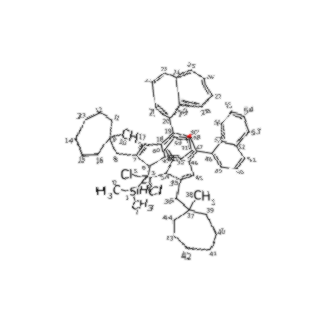 C[SiH](C)[Zr]([Cl])([Cl])([CH]1C(CC2(C)CCCCCC2)=Cc2c(-c3cccc4ccccc34)cccc21)[CH]1C(CC2(C)CCCCCC2)=Cc2c(-c3cccc4ccccc34)cccc21